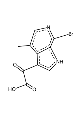 Cc1cnc(Br)c2[nH]cc(C(=O)C(=O)O)c12